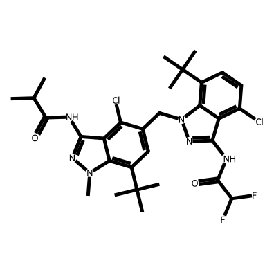 CC(C)C(=O)Nc1nn(C)c2c(C(C)(C)C)cc(Cn3nc(NC(=O)C(F)F)c4c(Cl)ccc(C(C)(C)C)c43)c(Cl)c12